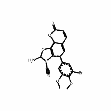 COc1cc(C2C=C3C=CC(=O)OC3C3=C2N(C#N)C(N)O3)cc(Br)c1OC